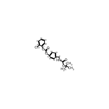 CC(C)(C)OC(=O)NCc1ccc(OC(=O)Oc2ccccc2Cl)cc1